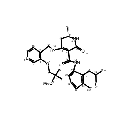 COC(C)(C)COc1cnccc1CNC1=C(C(=S)Nc2cccc(F)c2CC(F)F)C(=O)N[C@H](C)C1